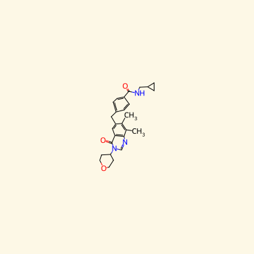 Cc1c(Cc2ccc(C(=O)NCC3CC3)cc2)cc2c(=O)n(C3CCOCC3)cnc2c1C